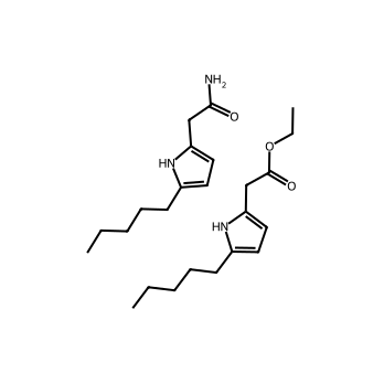 CCCCCc1ccc(CC(=O)OCC)[nH]1.CCCCCc1ccc(CC(N)=O)[nH]1